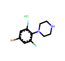 Cl.Fc1cc(Br)cc(F)c1N1CCNCC1